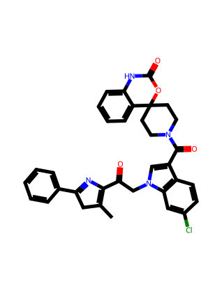 CC1=C(C(=O)Cn2cc(C(=O)N3CCC4(CC3)OC(=O)Nc3ccccc34)c3ccc(Cl)cc32)N=C(c2ccccc2)C1